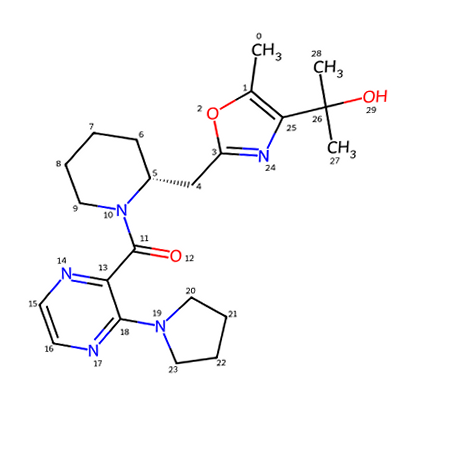 Cc1oc(C[C@H]2CCCCN2C(=O)c2nccnc2N2CCCC2)nc1C(C)(C)O